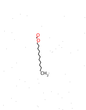 [CH2]CCCCCCCCCCCOC=O